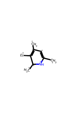 CCC1=C(C)C=C(C)NC1C